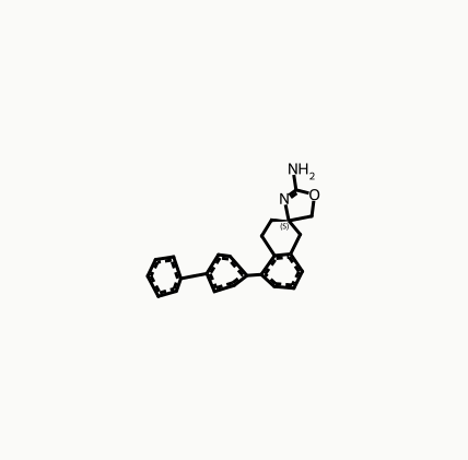 NC1=N[C@]2(CCc3c(cccc3-c3ccc(-c4ccccc4)cc3)C2)CO1